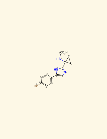 O=C(O)NC1(c2ncc(-c3ccc(Br)cc3)[nH]2)CC1